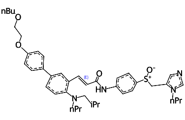 CCCCOCCOc1ccc(-c2ccc(N(CCC)CC(C)C)c(/C=C/C(=O)Nc3ccc([S+]([O-])Cc4cncn4CCC)cc3)c2)cc1